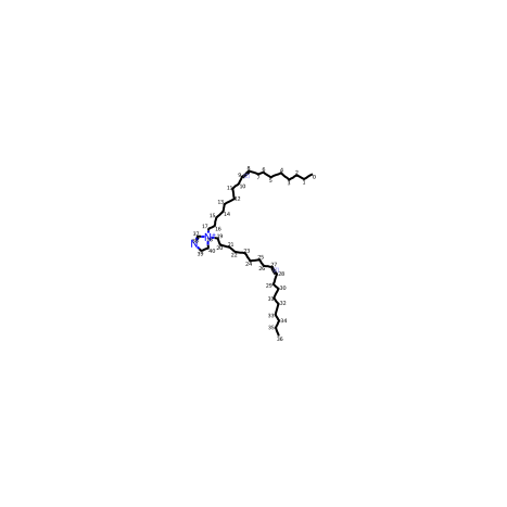 CCCCCCCC/C=C\CCCCCCCC[N+]1(CCCCCCCC/C=C\CCCCCCCC)C=NCC1